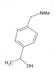 CNCc1ccc(C(C)O)cc1